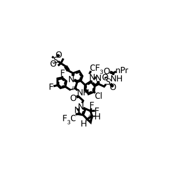 [CH2]CCC(=O)NS(=O)(=O)Cc1nn(CC(F)(F)F)c2c(-c3ccc(C#CC(C)(C)S(C)(=O)=O)nc3[C@H](Cc3cc(F)cc(F)c3)NC(=O)Cn3nc(C(F)(F)F)c4c3C(F)(F)[C@@H]3C[C@H]43)ccc(Cl)c12